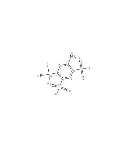 CS(=O)(=O)c1cc(S(C)(=O)=O)c(C(F)(F)F)cc1N